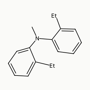 CCc1ccccc1N(C)c1ccccc1CC